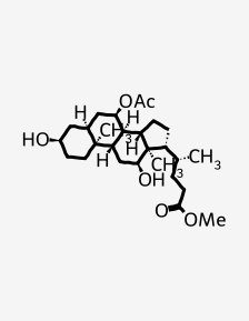 COC(=O)CC[C@@H](C)[C@H]1CC[C@H]2[C@@H]3[C@H](OC(C)=O)C[C@@H]4C[C@H](O)CC[C@]4(C)[C@H]3C[C@H](O)[C@]12C